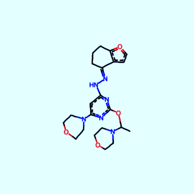 CC(Oc1nc(NN=C2CCCc3occc32)cc(N2CCOCC2)n1)N1CCOCC1